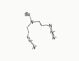 CC(C)(C)N(CCN=[N+]=[N-])CCN=[N+]=[N-]